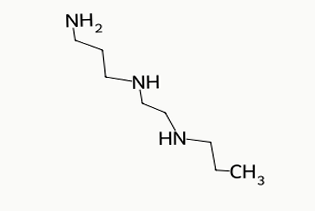 CCCNCCNCCCN